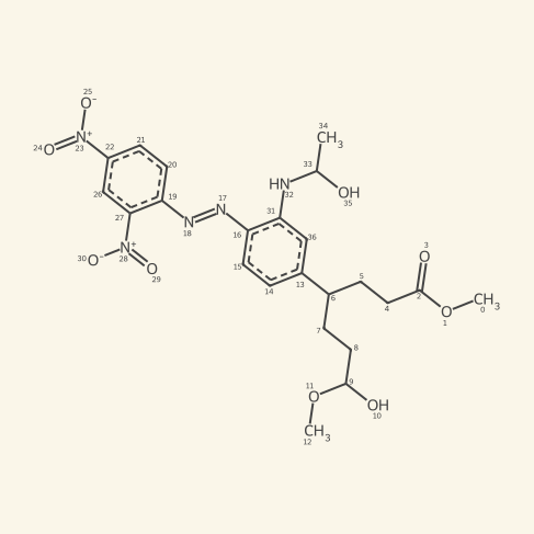 COC(=O)CCC(CCC(O)OC)c1ccc(/N=N/c2ccc([N+](=O)[O-])cc2[N+](=O)[O-])c(NC(C)O)c1